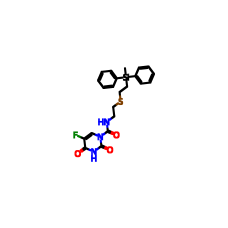 C[Si](CCSCCNC(=O)n1cc(F)c(=O)[nH]c1=O)(c1ccccc1)c1ccccc1